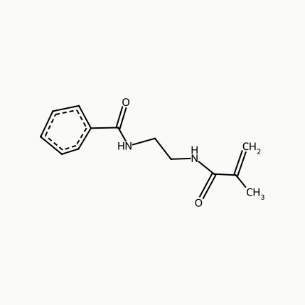 C=C(C)C(=O)NCCNC(=O)c1ccccc1